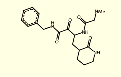 CNCC(=O)NC(CC1CCCNC1=O)C(=O)C(=O)NCc1ccccc1